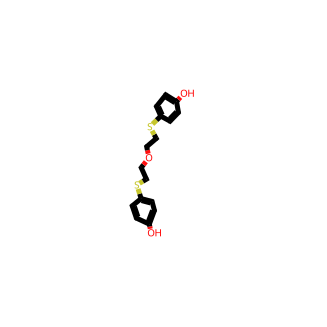 Oc1ccc(SCCOCCSc2ccc(O)cc2)cc1